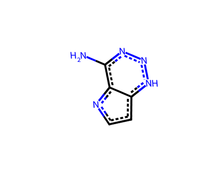 Nc1nn[nH]c2ccnc1-2